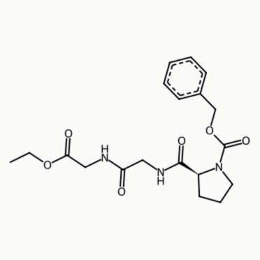 CCOC(=O)CNC(=O)CNC(=O)[C@@H]1CCCN1C(=O)OCc1ccccc1